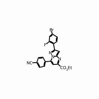 CCOC(=O)c1cc(-c2ccc(C#N)cc2)n2nc(-c3ccc(Br)cc3F)cc2n1